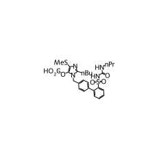 CCCCc1nc(SC)c(OC(=O)O)n1Cc1ccc(-c2ccccc2S(=O)(=O)NC(=O)NCCC)cc1